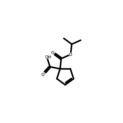 CC(C)OC(=O)C1(C(=O)O)CC=CC1